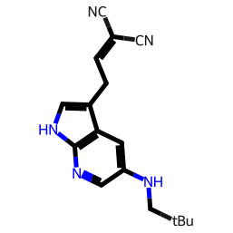 CC(C)(C)CNc1cnc2[nH]cc(CC=C(C#N)C#N)c2c1